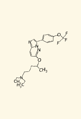 CCN(CC)CCCC(C)Oc1ccc2ncc(-c3ccc(OC(F)(F)F)cc3)n2n1